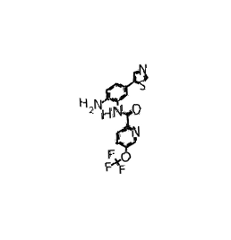 Nc1ccc(-c2cncs2)cc1NC(=O)c1ccc(OC(F)(F)F)cn1